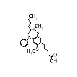 CCCCC1CN(c2ccccc2)c2cc(SC)c(CCCCC(=O)O)cc2SN1C